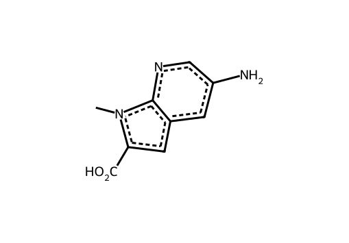 Cn1c(C(=O)O)cc2cc(N)cnc21